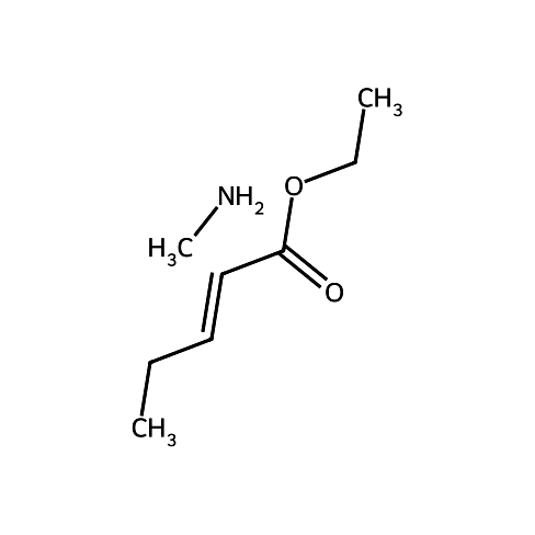 CCC=CC(=O)OCC.CN